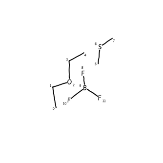 CCOCC.CSC.FB(F)F